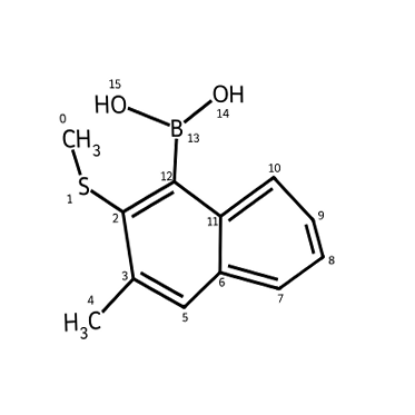 CSc1c(C)cc2ccccc2c1B(O)O